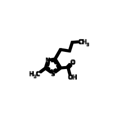 CCCCc1nc(C)sc1C(=O)O